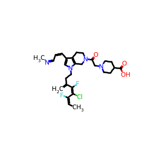 C=C(CCn1cc(/C=C\C=N/C)c2c1CN(C(=O)CN1CCC(C(=O)O)CC1)CC2)/C(F)=C(Cl)\C(F)=C/C